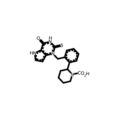 O=C(O)N1CCCCC1c1ccccc1Cn1c(=S)[nH]c(=O)c2[nH]ccc21